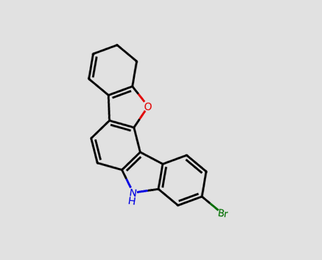 Brc1ccc2c(c1)[nH]c1ccc3c4c(oc3c12)CCC=C4